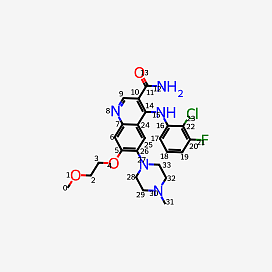 COCCOc1cc2ncc(C(N)=O)c(Nc3cccc(F)c3Cl)c2cc1N1CCN(C)CC1